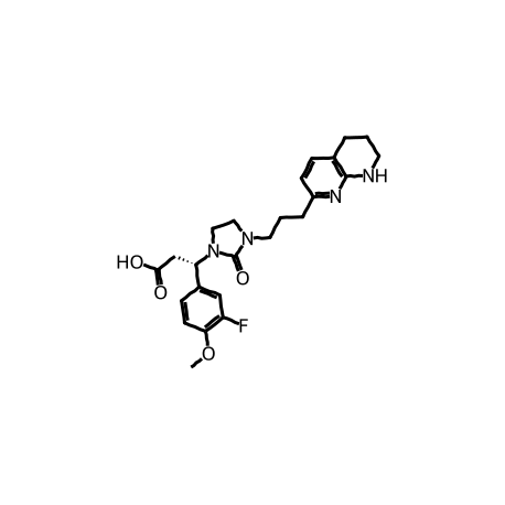 COc1ccc([C@H](CC(=O)O)N2CCN(CCCc3ccc4c(n3)NCCC4)C2=O)cc1F